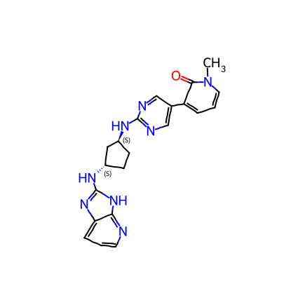 Cn1cccc(-c2cnc(N[C@H]3CC[C@H](Nc4nc5cccnc5[nH]4)C3)nc2)c1=O